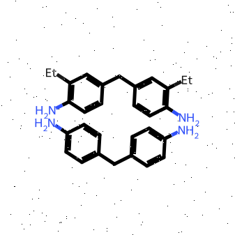 CCc1cc(Cc2ccc(N)c(CC)c2)ccc1N.Nc1ccc(Cc2ccc(N)cc2)cc1